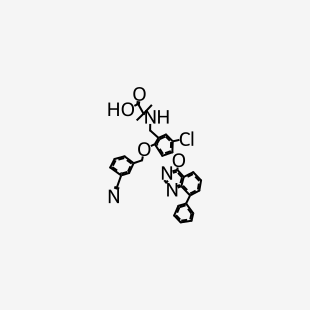 CC(C)(NCc1cc(Cl)c(Oc2ncnc3c(-c4ccccc4)cccc23)cc1OCc1cccc(C#N)c1)C(=O)O